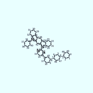 c1ccc(-c2ccc(-c3cccc(-c4ccnc(-n5c6ccccc6c6cc7c8ccccc8n(-c8ccccc8)c7cc65)n4)c3)cc2)cc1